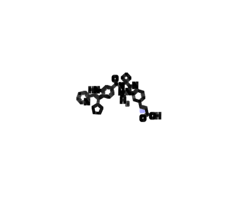 Cn1c(C2(NC(=O)c3ccc4c(C5CCCC5)c(-c5ccccn5)[nH]c4c3)CCC2)nc2c1CC(/C=C/C(=O)O)C=C2